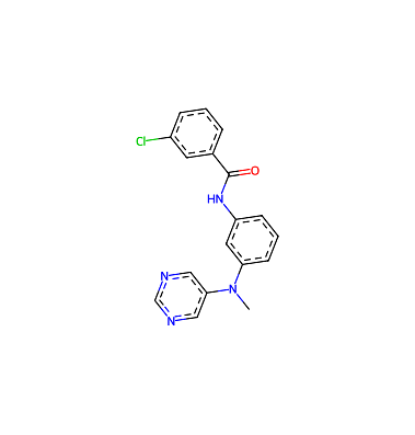 CN(c1cncnc1)c1cccc(NC(=O)c2cccc(Cl)c2)c1